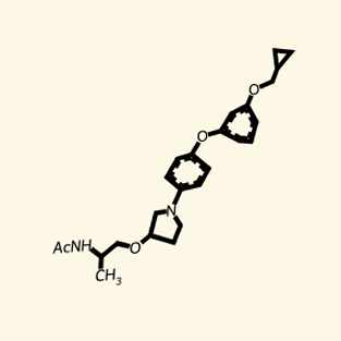 CC(=O)NC(C)COC1CCN(c2ccc(Oc3cccc(OCC4CC4)c3)cc2)C1